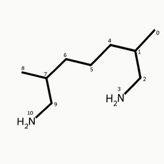 CC(CN)CCCC(C)CN